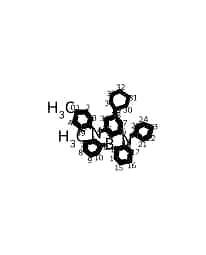 Cc1ccc(N2c3ccccc3B3c4ccccc4N(c4ccccc4)c4cc(C5CCCCC5)cc2c43)c(C)c1